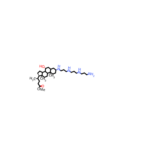 COC(=O)CC[C@@H](C)[C@H]1CCC2C3C(CC[C@@]21C)[C@@]1(C)CC[C@H](NCCCNCCCNCCCN)CC1C[C@H]3O